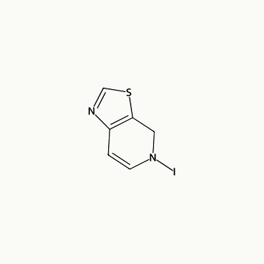 IN1C=Cc2ncsc2C1